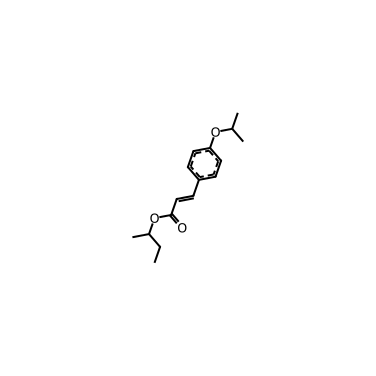 CCC(C)OC(=O)/C=C/c1ccc(OC(C)C)cc1